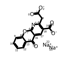 O=C([O-])Cc1nc2oc3ccccc3c(=O)c2cc1C(=O)[O-].[Na+].[Na+]